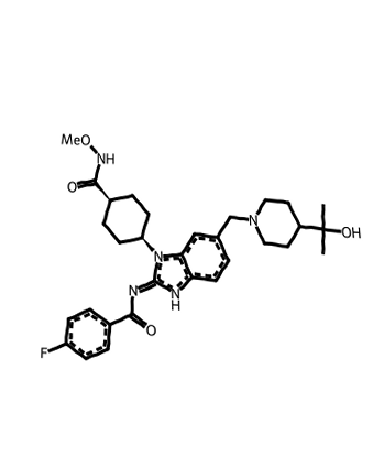 CONC(=O)[C@H]1CC[C@@H](n2/c(=N/C(=O)c3ccc(F)cc3)[nH]c3ccc(CN4CCC(C(C)(C)O)CC4)cc32)CC1